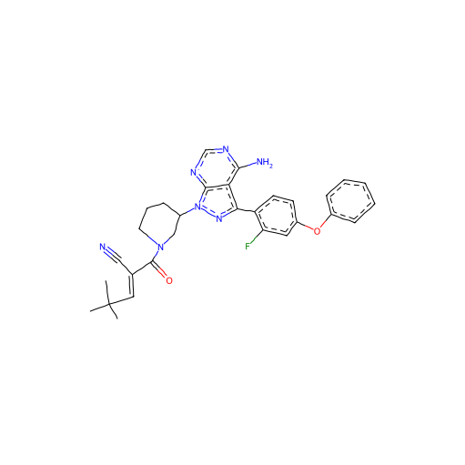 CC(C)(C)/C=C(\C#N)C(=O)N1CCCC(n2nc(-c3ccc(Oc4ccccc4)cc3F)c3c(N)ncnc32)C1